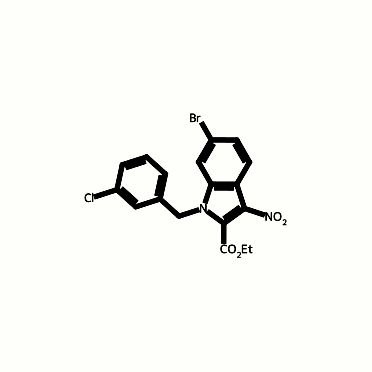 CCOC(=O)c1c([N+](=O)[O-])c2ccc(Br)cc2n1Cc1cccc(Cl)c1